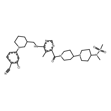 Cc1c(NCC2CCCN(c3ccc(C#N)c(Cl)c3)C2)ncnc1C(=O)N1CCC(N2CCC(N(C)S(C)(=O)=O)CC2)CC1